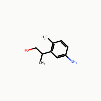 Cc1ccc(N)cc1C(C)CO